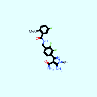 COc1ccc(F)cc1C(=O)NCc1ccc(-c2nn(C(C)C)c(N)c2C(N)=O)c(F)c1F